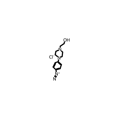 N#[N+]c1ccc(N2CCN(CCO)CC2)cc1.[Cl-]